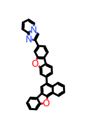 c1ccc2c(c1)oc1c3ccccc3c(-c3ccc4c(c3)oc3cc(-c5cn6ccccc6n5)ccc34)cc21